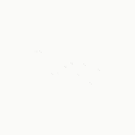 CC(=O)Nc1cc(N)ccc1/N=N/c1nc(C#N)c(C#N)n1C